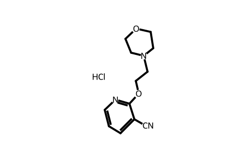 Cl.N#Cc1cccnc1OCCN1CCOCC1